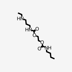 CCCCNC(=O)OCCOC(=O)NCCCNCC